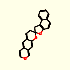 C1=Cc2cc3c(cc2=CO1)OC1(CC=3)Cc2c(ccc3ccccc23)O1